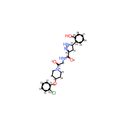 O=C(NCC(=O)N1CCC(Oc2ccccc2Cl)CC1)C1=NNC(c2ccccc2O)C1